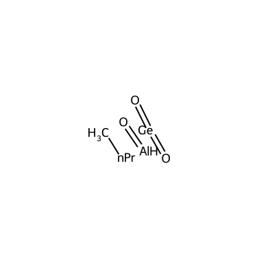 CCCC.[O]=[AlH].[O]=[Ge]=[O]